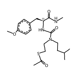 CNC(=O)[C@H](Cc1ccc(OC)cc1)NC(=O)N(CCSC(C)=O)CCC(C)C